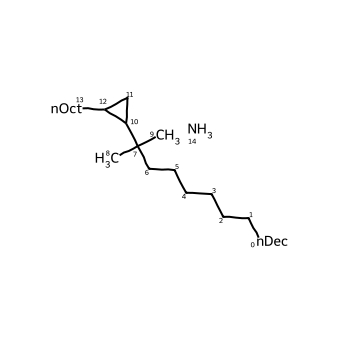 CCCCCCCCCCCCCCCCC(C)(C)C1CC1CCCCCCCC.N